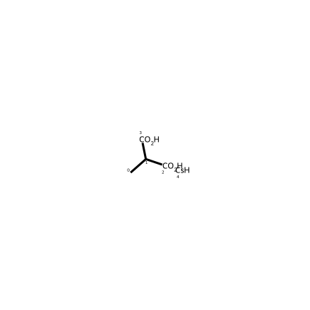 CC(C(=O)O)C(=O)O.[CsH]